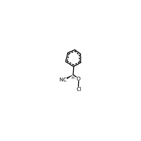 N#C[C@H](OCl)c1ccccc1